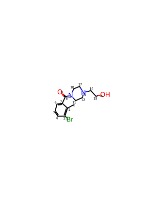 Cc1c(Br)cccc1C(=O)N1CCN(CCO)CC1